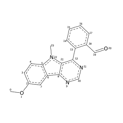 COc1ccc2c(c1)c1ncnc(-c3ccccc3C=O)c1n2C